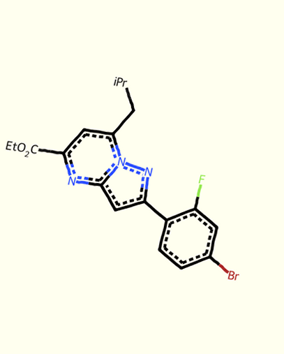 CCOC(=O)c1cc(CC(C)C)n2nc(-c3ccc(Br)cc3F)cc2n1